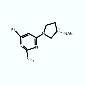 CCc1cc(N2CC[C@H](NC)C2)nc(N)n1